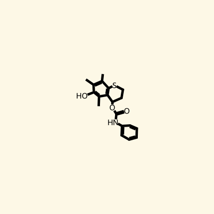 Cc1c(C)c2c(c(C)c1O)C(OC(=O)Nc1ccccc1)CCS2